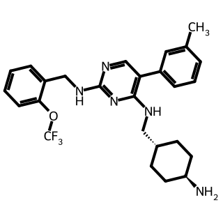 Cc1cccc(-c2cnc(NCc3ccccc3OC(F)(F)F)nc2NC[C@H]2CC[C@H](N)CC2)c1